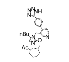 CCCCc1cn(C2C(C)CCCCC2C(C)=O)c(=O)n1Cc1cnccc1-c1ccc(-c2nnn[nH]2)cc1